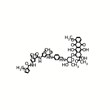 COc1cccc2c1C(=O)c1c(O)c3c(c(O)c1C2=O)C[C@](O)(C(C)=O)C[C@@H]3OC1CC(NCc2ccc(NC(=O)c3cc(NC(=O)c4cc(NC(=O)c5cccn5C)cn4C)cn3C)cc2)C(O)C(C)O1